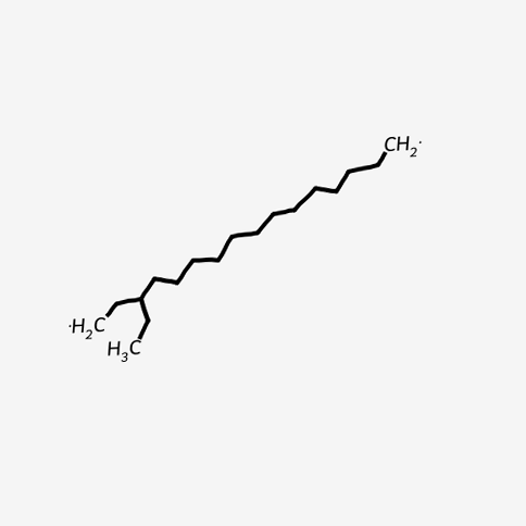 [CH2]CCCCCCCCCCCCC(C[CH2])CC